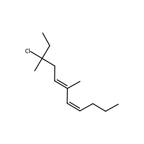 CCC/C=C\C(C)=C\CC(C)(Cl)CC